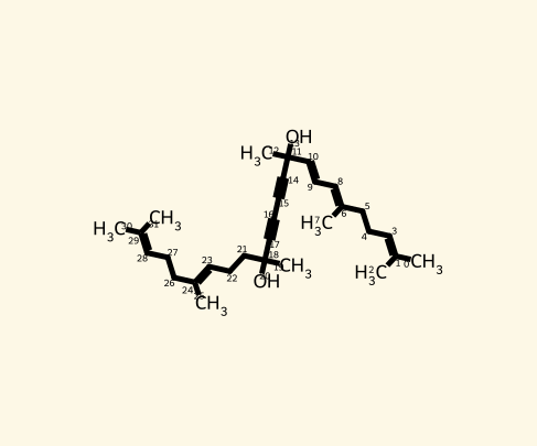 CC(C)=CCC/C(C)=C/C=C/C(C)(O)C#CC#CC(C)(O)CC/C=C(\C)CCC=C(C)C